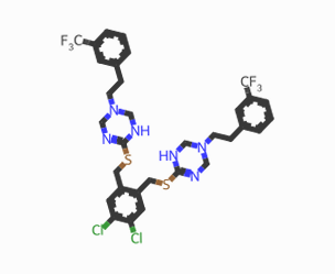 FC(F)(F)c1cccc(CCN2CN=C(SCc3cc(Cl)c(Cl)cc3CSC3=NCN(CCc4cccc(C(F)(F)F)c4)CN3)NC2)c1